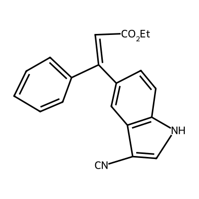 [C-]#[N+]c1c[nH]c2ccc(/C(=C\C(=O)OCC)c3ccccc3)cc12